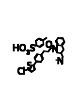 CN(C)CC1Cc2ccccc2N(C(=O)CCc2ccc(-c3ccc(Cl)s3)cc2)C1.Cc1ccc(S(=O)(=O)O)cc1